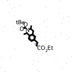 CCOC(=O)/C=C/c1ccc2c(c1)CC(C)N(C(=O)OC(C)(C)C)C2C